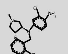 CN1CC[C@H](N(Cc2c(F)cccc2Cl)c2ccc(N)c(Cl)c2)C1